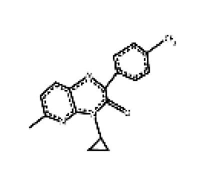 Cc1ccc2nc(-c3ccc(C(F)(F)F)cc3)c(=O)n(C3CC3)c2n1